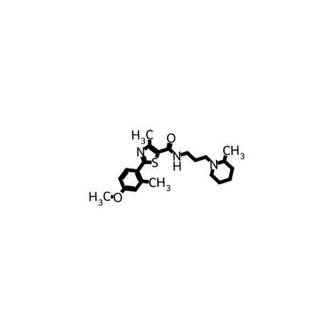 COc1ccc(-c2nc(C)c(C(=O)NCCCN3CCCCC3C)s2)c(C)c1